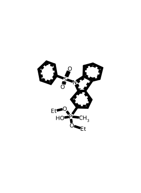 CCOP(C)(O)(OCC)c1ccc2c3ccccc3n(S(=O)(=O)c3ccccc3)c2c1